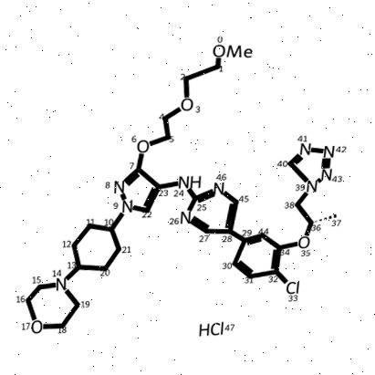 COCCOCCOc1nn(C2CCC(N3CCOCC3)CC2)cc1Nc1ncc(-c2ccc(Cl)c(O[C@@H](C)Cn3cnnn3)c2)cn1.Cl